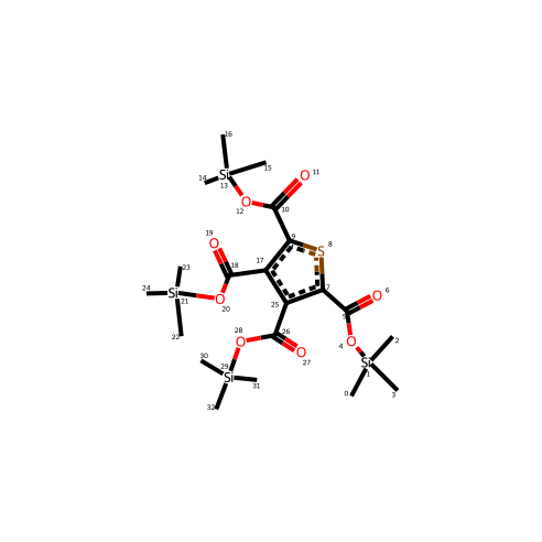 C[Si](C)(C)OC(=O)c1sc(C(=O)O[Si](C)(C)C)c(C(=O)O[Si](C)(C)C)c1C(=O)O[Si](C)(C)C